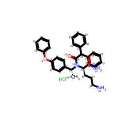 C[C@H](c1ccc(Oc2ccccc2)cc1)N(C(=O)C(c1ccccc1)c1ccccc1)[C@H](CCCN)C(N)=O.Cl